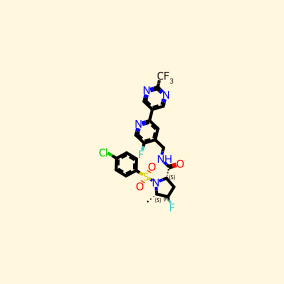 C[C@H]1[C@H](F)C[C@@H](C(=O)NCc2cc(-c3cnc(C(F)(F)F)nc3)ncc2F)N1S(=O)(=O)c1ccc(Cl)cc1